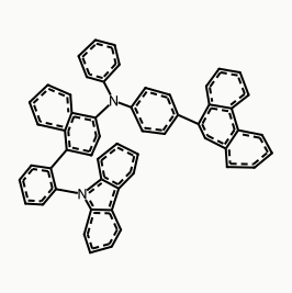 c1ccc(N(c2ccc(-c3cc4ccccc4c4ccccc34)cc2)c2ccc(-c3ccccc3-n3c4ccccc4c4ccccc43)c3ccccc23)cc1